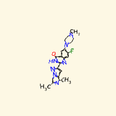 Cc1cn2nc(-c3nc4cc(F)c(N5CCN(C)CC5)cc4c(=O)[nH]3)cc2c(C)n1